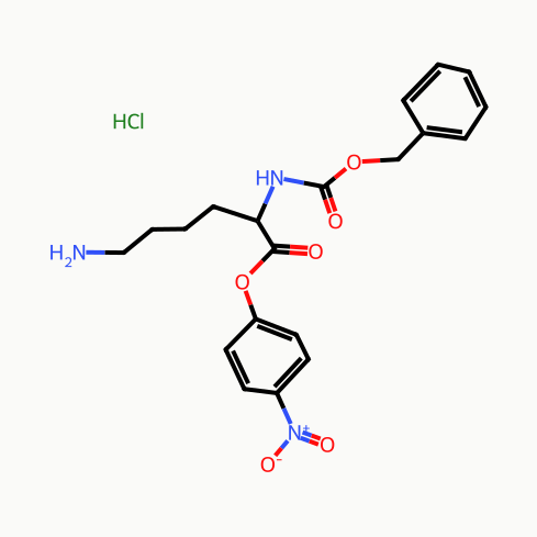 Cl.NCCCCC(NC(=O)OCc1ccccc1)C(=O)Oc1ccc([N+](=O)[O-])cc1